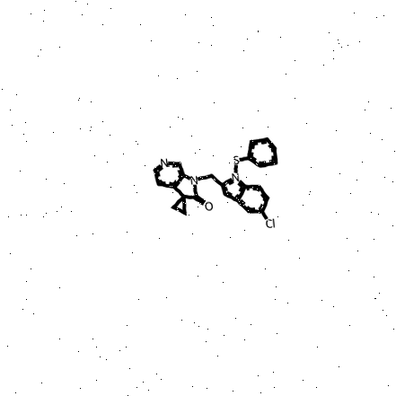 O=C1N(Cc2cc3cc(Cl)ccc3n2Sc2ccccc2)c2cnccc2C12CC2